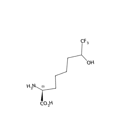 N[C@@H](CCCCC(O)C(F)(F)F)C(=O)O